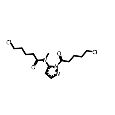 CN(C(=O)CCCCCl)c1ccnn1C(=O)CCCCCl